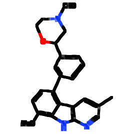 COc1ccc(-c2cccc(C3CN(C=O)CCO3)c2)c2c1[nH]c1ncc(C)cc12